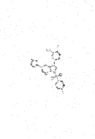 Cc1ccc(S(=O)(=O)n2cc(-c3ccc(F)c(Cl)c3)c3cc(-c4ccsc4)cnc32)cc1